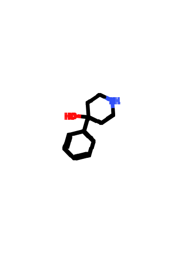 OC1(C2C=CC=CC2)CCNCC1